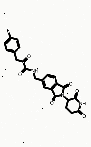 O=C1CCC(N2C(=O)c3ccc(CNC(=O)C(=O)Cc4ccc(F)cc4)cc3C2=O)C(=O)N1